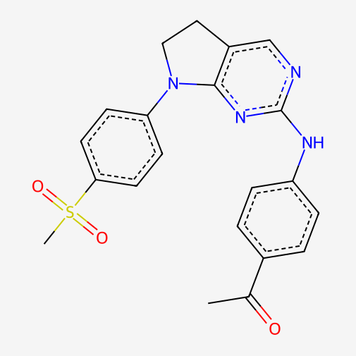 CC(=O)c1ccc(Nc2ncc3c(n2)N(c2ccc(S(C)(=O)=O)cc2)CC3)cc1